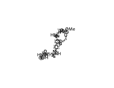 COC(=O)N[C@H]1COCCCCOn2c(ccc(-c3ccc(-c4c[nH]c([C@@]5(CCCNC(=O)[C@](C)(NC6OCO6)C(C)C)CS5)n4)cc3)c2=O)-c2c[nH]c(n2)CN(C)C1=O